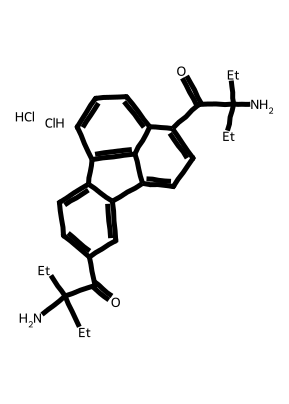 CCC(N)(CC)C(=O)c1ccc2c(c1)-c1ccc(C(=O)C(N)(CC)CC)c3cccc-2c13.Cl.Cl